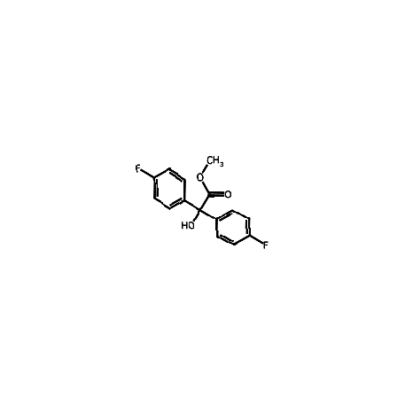 COC(=O)C(O)(c1ccc(F)cc1)c1ccc(F)cc1